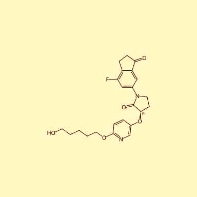 O=C1CCc2c(F)cc(N3CC[C@@H](Oc4ccc(OCCCCCO)nc4)C3=O)cc21